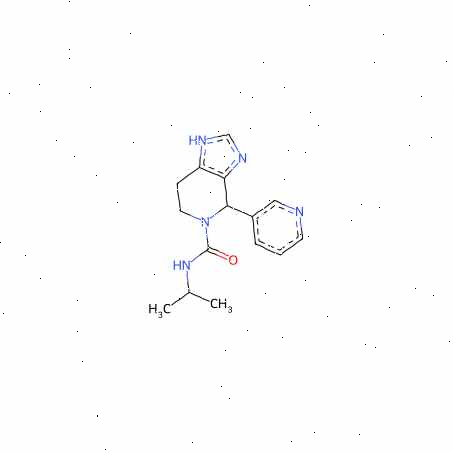 CC(C)NC(=O)N1CCc2[nH]cnc2C1c1cccnc1